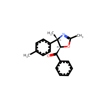 CC1=N[C@@](C)(c2ccc(C)cc2)[C@H](C(=O)c2ccccc2)O1